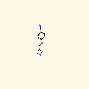 N#Cc1ccc(OCC2C[N]C2)cc1